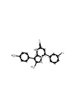 Cc1ccc(-c2c(C)nn3c(-c4cccc(F)c4)cc(=O)[nH]c23)cc1